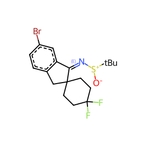 CC(C)(C)[S+]([O-])/N=C1/c2cc(Br)ccc2CC12CCC(F)(F)CC2